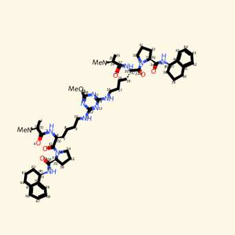 CN[C@@H](C)C(=O)N[C@@H](CCCCNc1nc(NCCCC[C@H](NC(=O)[C@H](C)NC)C(=O)N2CCC[C@H]2C(=O)N[C@@H]2CCCc3ccccc32)nc(OC)n1)C(=O)N1CCC[C@H]1C(=O)N[C@@H]1CCCc2ccccc21